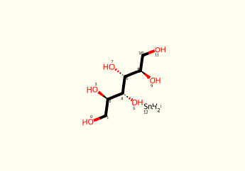 OC[C@@H](O)[C@@H](O)[C@H](O)[C@H](O)CO.[SnH2]